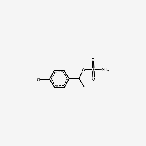 CC(OS(N)(=O)=O)c1ccc(Cl)cc1